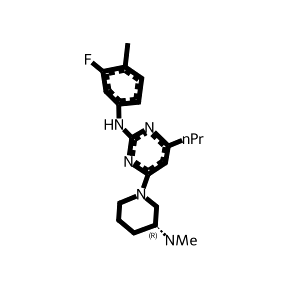 CCCc1cc(N2CCC[C@@H](NC)C2)nc(Nc2ccc(C)c(F)c2)n1